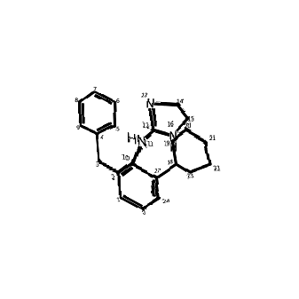 [c]1cc(Cc2ccccc2)c(NC2=NCCN2)c(C2CCCCC2)c1